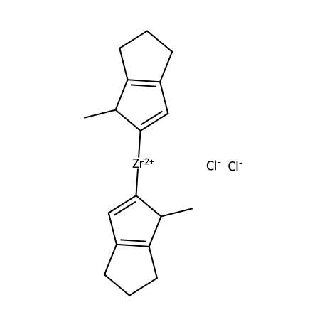 CC1[C]([Zr+2][C]2=CC3=C(CCC3)C2C)=CC2=C1CCC2.[Cl-].[Cl-]